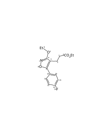 CCOC(=O)CCc1c(OCC)noc1-c1ccc(F)cc1